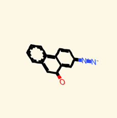 [N-]=[N+]=C1C=CC2=c3ccccc3=CC(=O)C2=C1